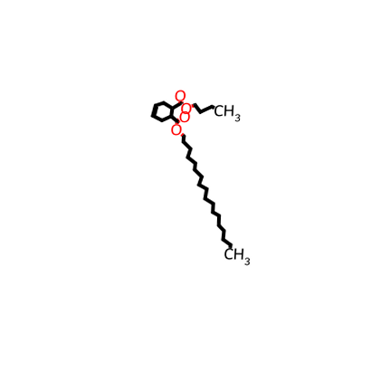 CCCCCCCCCCCCCCCCCCOC(=O)C1CC=CCC1C(=O)OCCCC